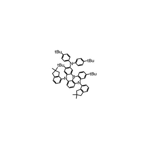 CC1(C)Cc2cccc(N3c4cc(C(C)(C)C)ccc4B4c5cc(N(c6ccc(C(C)(C)C)cc6)c6ccc(C(C)(C)C)cc6)c(C(C)(C)C)cc5N(c5cccc6c5CC(C)(C)C6)c5cccc3c54)c2C1